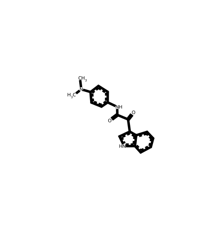 CN(C)c1ccc(NC(=O)C(=O)c2c[nH]c3ccccc23)cc1